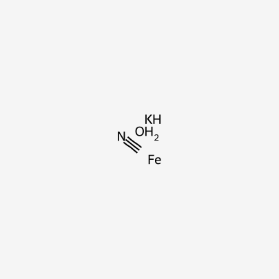 C#N.O.[Fe].[KH]